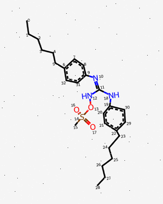 CCCCCCc1ccc(N=C(NOS(C)(=O)=O)Nc2ccc(CCCCCC)cc2)cc1